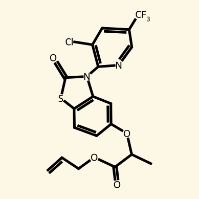 C=CCOC(=O)C(C)Oc1ccc2sc(=O)n(-c3ncc(C(F)(F)F)cc3Cl)c2c1